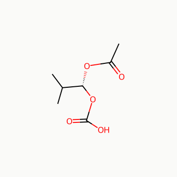 CC(=O)O[C@H](OC(=O)O)C(C)C